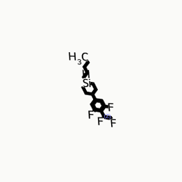 CCCCC[SiH]1CCC(c2cc(F)c(/C(F)=C/F)c(F)c2)CC1